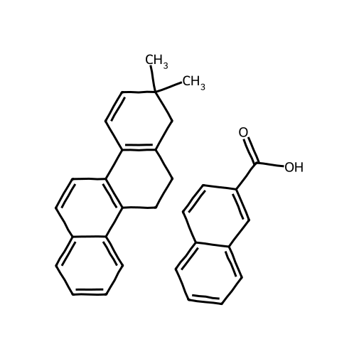 CC1(C)C=CC2=C(CCc3c2ccc2ccccc32)C1.O=C(O)c1ccc2ccccc2c1